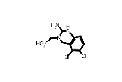 NC1Nc2ccc(Cl)c(Cl)c2CN1CC(=O)O